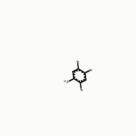 Nc1cc(Br)c(Br)cc1Br